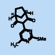 CSc1nc(C)cc(C2C(=O)[C@@H]3CC[C@@H](C3)C2=O)n1